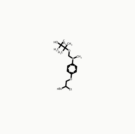 CCCCC(CC)COc1ccc(B(C)COC(C)(C)C(C)(C)O)cc1